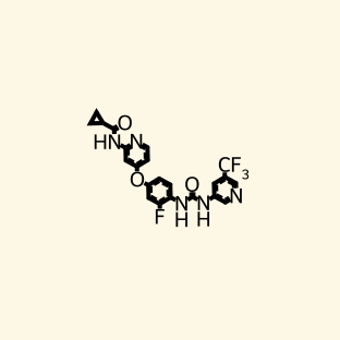 O=C(Nc1cncc(C(F)(F)F)c1)Nc1ccc(Oc2ccnc(NC(=O)C3CC3)c2)cc1F